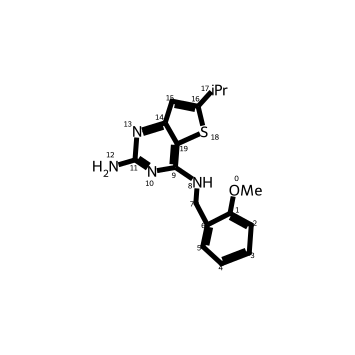 COc1ccccc1CNc1nc(N)nc2cc(C(C)C)sc12